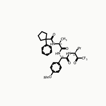 COc1ccc([C@H](NC(=O)[C@H](C)NC(=O)C2(c3ccccc3)CCCC2)C(=O)N[C@H](C(=O)C(F)(F)F)C(C)C)cc1